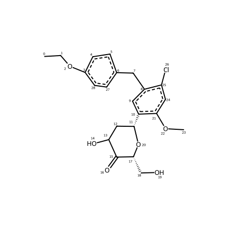 CCOc1ccc(Cc2cc([C@H]3CC(O)C(=O)[C@@H](CO)O3)c(OC)cc2Cl)cc1